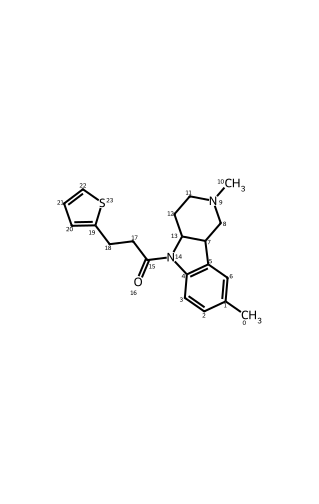 Cc1ccc2c(c1)C1CN(C)CCC1N2C(=O)CCc1cccs1